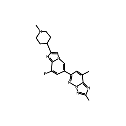 Cc1nc2c(C)cc(-c3cc(F)c4nc(C5CCN(C)CC5)cn4c3)nn2n1